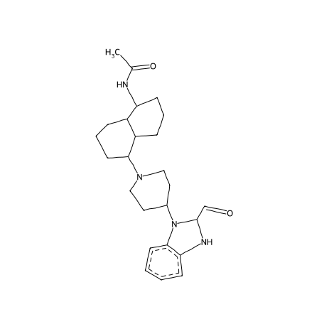 CC(=O)NC1CCCC2C1CCCC2N1CCC(N2c3ccccc3NC2C=O)CC1